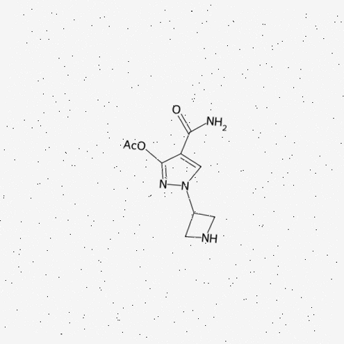 CC(=O)Oc1nn(C2CNC2)cc1C(N)=O